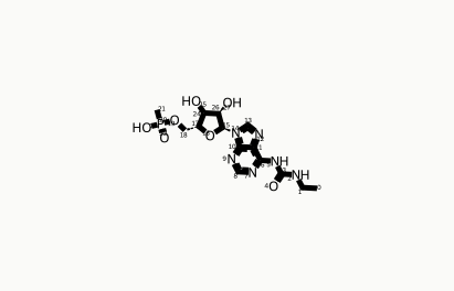 CCNC(=O)Nc1ncnc2c1ncn2[C@@H]1O[C@H](COP(C)(=O)O)C(O)[C@@H]1O